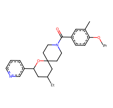 CCC1CC(c2cccnc2)OC2(CCN(C(=O)c3ccc(OC(C)C)c(C)c3)CC2)C1